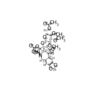 CO[C@@H]1[C@@H](OC)[C@H](O[C@@H]2CC(=O)[C@@H]3CCN(Cc4cc5c(cc43)OCO5)C(=O)[C@H]2OC(C)=O)O[C@H](COC(C)=O)[C@H]1OC